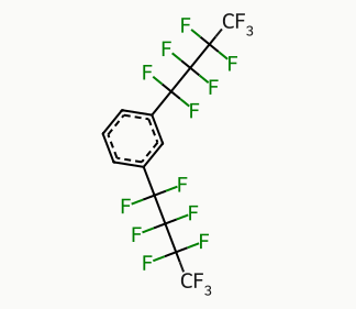 FC(F)(F)C(F)(F)C(F)(F)C(F)(F)c1cccc(C(F)(F)C(F)(F)C(F)(F)C(F)(F)F)c1